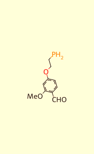 COc1cc(OCCP)ccc1C=O